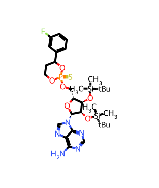 CC(C)(C)[Si](C)(C)O[C@@H]1[C@H](O[Si](C)(C)C(C)(C)C)[C@@H](COP2(=S)OCCC(c3cccc(F)c3)O2)O[C@H]1n1cnc2c(N)ncnc21